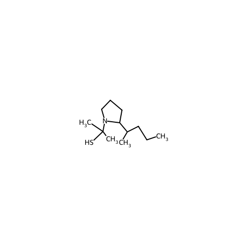 CCCC(C)C1CCCN1C(C)(C)S